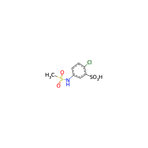 CS(=O)(=O)Nc1ccc(Cl)c(S(=O)(=O)O)c1